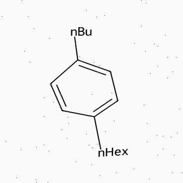 [CH2]CCCCCc1ccc(CCCC)cc1